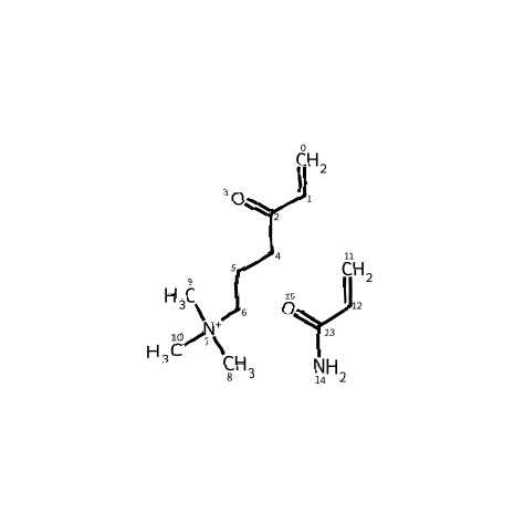 C=CC(=O)CCC[N+](C)(C)C.C=CC(N)=O